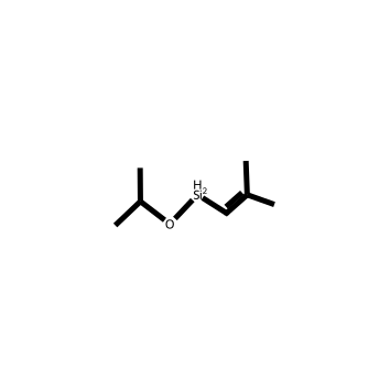 CC(C)=C[SiH2]OC(C)C